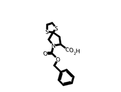 O=C(O)C1CC2(CN1C(=O)OCc1ccccc1)SCCS2